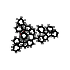 C1=C(c2ccccc2)C(c2ccccc2)(c2ccccc2)c2cc(N(c3ccc4c(c3)C(c3ccccc3)(c3ccccc3)C(c3ccccc3)=C4)c3ccc4c(c3)C(c3ccccc3)(c3ccccc3)C(c3ccccc3)=C4)ccc21